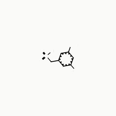 O=C(O)c1cc(Cl)cc(CS(=O)(=O)Cl)c1